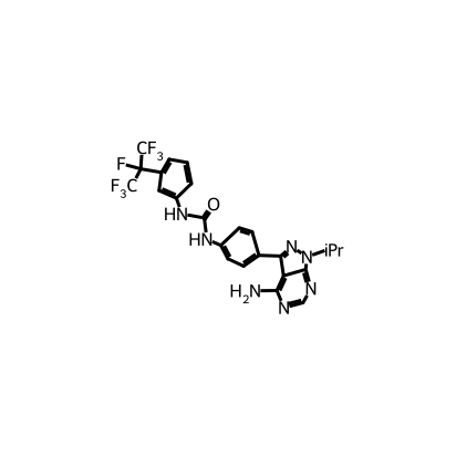 CC(C)n1nc(-c2ccc(NC(=O)Nc3cccc(C(F)(C(F)(F)F)C(F)(F)F)c3)cc2)c2c(N)ncnc21